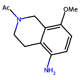 COc1ccc(N)c2c1CN(C(C)=O)CC2